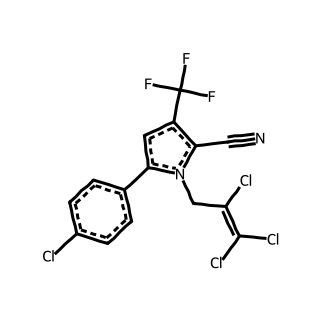 N#Cc1c(C(F)(F)F)cc(-c2ccc(Cl)cc2)n1CC(Cl)=C(Cl)Cl